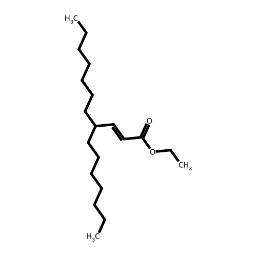 CCCCCCCC(C=CC(=O)OCC)CCCCCCC